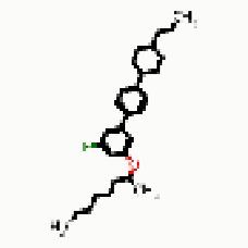 CCCCCCC(C)Oc1cc(F)cc(-c2ccc(C3CCC(CCC)CC3)cc2)c1